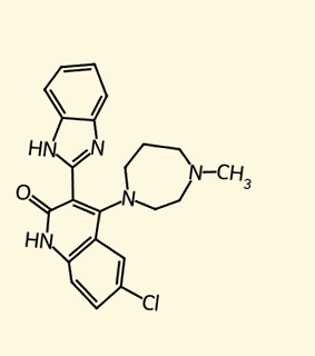 CN1CCCN(c2c(-c3nc4ccccc4[nH]3)c(=O)[nH]c3ccc(Cl)cc23)CC1